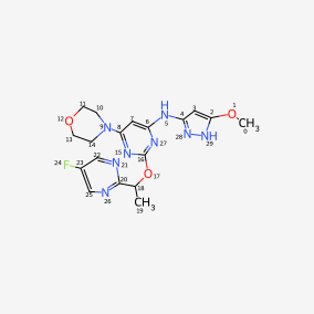 COc1cc(Nc2cc(N3CCOCC3)nc(OC(C)c3ncc(F)cn3)n2)n[nH]1